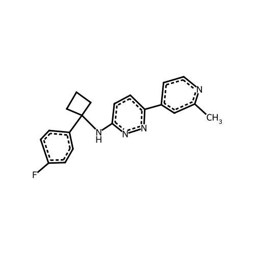 Cc1cc(-c2ccc(NC3(c4ccc(F)cc4)CCC3)nn2)ccn1